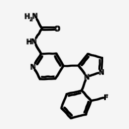 NC(=O)Nc1cc(-c2ccnn2-c2ccccc2F)ccn1